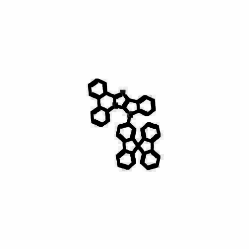 c1ccc2c(c1)-c1ccccc1C21c2ccccc2-c2ccc(-n3c4ccccc4c4nc5c6ccccc6c6ccccc6n5c43)cc21